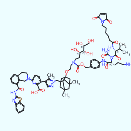 Cc1c(-c2ccc(N3CCc4cccc(C(=O)Nc5nc6ccccc6s5)c4C3)nc2C(=O)O)cnn1CC12CC3(C)CC(C)(C1)CC(OCCN(CC[C@@H](O)[C@H](O)[C@H](O)CO)C(=O)OCc1ccc(NC(=O)[C@@H](CCCN)N(C(N)=O)C(=O)[C@H](NC(=O)CCCCCN4C(=O)C=CC4=O)C(C)C)cc1)(C3)C2